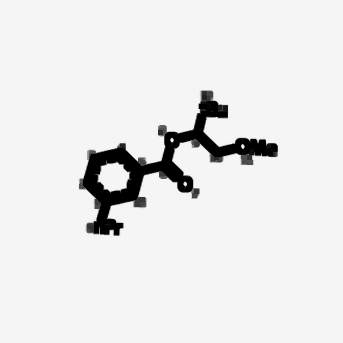 CCCc1cccc(C(=O)OC(COC)C(C)(C)C)c1